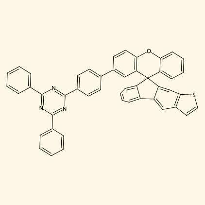 c1ccc(-c2nc(-c3ccccc3)nc(-c3ccc(-c4ccc5c(c4)C4(c6ccccc6O5)c5ccccc5-c5cc6ccsc6cc54)cc3)n2)cc1